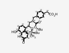 CC(C)(C)OC(=O)N(Cc1ccc(CC(=O)O)cc1)CC(O[Si](C)(C)C(C)(C)C)c1ccc(O)c2[nH]c(=O)ccc12